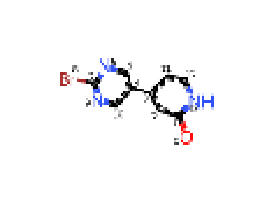 O=c1cc(-c2cnc(Br)nc2)cc[nH]1